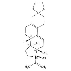 C=C(C)[C@]1(O)CC[C@H]2[C@@H]3CCC4=C(CCC5(C4)OCCO5)C3=CC[C@@]21C